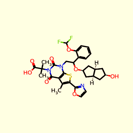 Cc1c(-c2ncco2)sc2c1c(=O)n(C(C)(C)C(=O)O)c(=O)n2CC(O[C@H]1C[C@H]2C[C@@H](O)C[C@H]2C1)c1ccccc1OC(F)F